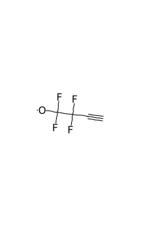 C#CC(F)(F)C([O])(F)F